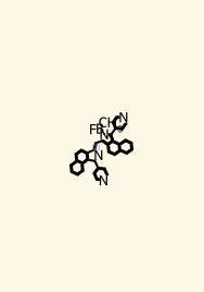 CB(F)n1c(/C=C2\N=C(c3ccncc3)c3c2ccc2ccccc32)c2ccc3ccccc3c2c1-c1ccncc1